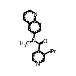 CC(C)c1cnccc1C(=O)N(C)c1ccc2ncccc2c1